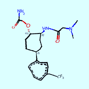 CN(C)CC(=O)N[C@H]1C[C@@H](c2cccc(C(F)(F)F)c2)CC[C@@H]1OC(N)=O